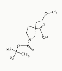 COCCC1(C(=O)O)CCN(C(=O)OC(C)(C)C)C1